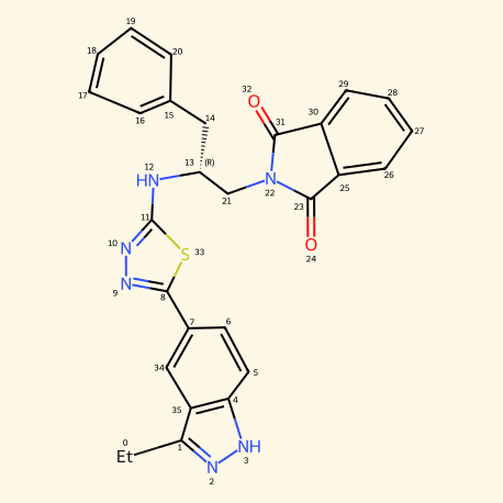 CCc1n[nH]c2ccc(-c3nnc(N[C@H](Cc4ccccc4)CN4C(=O)c5ccccc5C4=O)s3)cc12